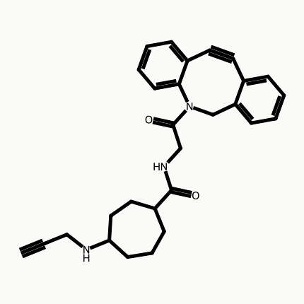 C#CCNC1CCCC(C(=O)NCC(=O)N2Cc3ccccc3C#Cc3ccccc32)CC1